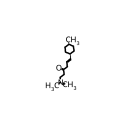 CN(C)CCC(=O)C/C=C/[C@H]1CC[C@H](C)CC1